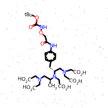 C[C@@H](CN(CC(=O)O)CC(=O)O)N(CC(=O)O)[C@H](Cc1ccc(NC(=O)CONC(=O)OC(C)(C)C)cc1)CN(CC(=O)O)CC(=O)O